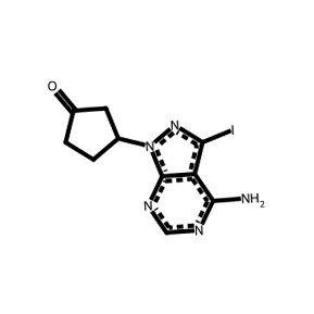 Nc1ncnc2c1c(I)nn2C1CCC(=O)C1